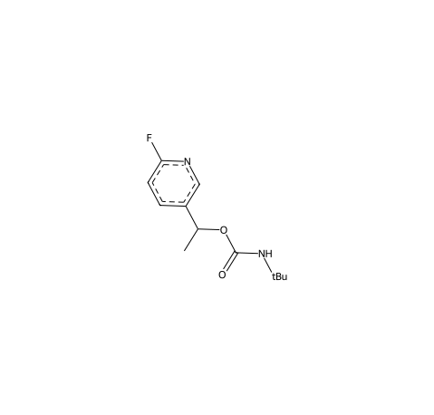 CC(OC(=O)NC(C)(C)C)c1ccc(F)nc1